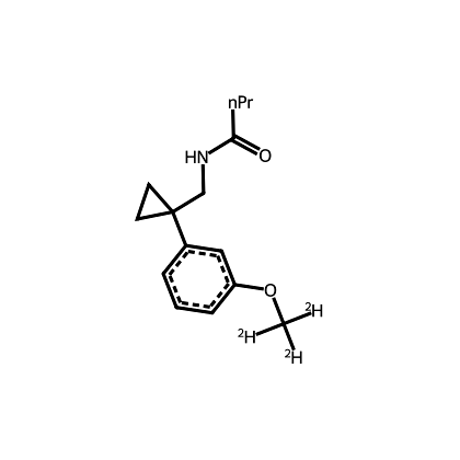 [2H]C([2H])([2H])Oc1cccc(C2(CNC(=O)CCC)CC2)c1